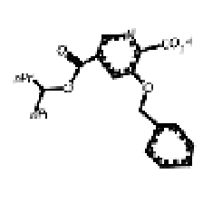 CCCC(CCC)OC(=O)c1cnc(C(=O)O)c(OCc2ccccc2)c1